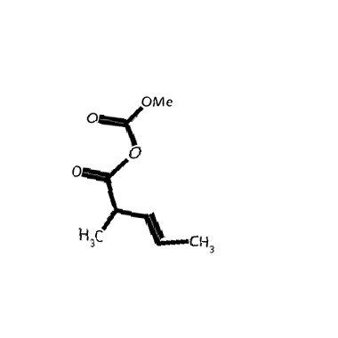 CC=CC(C)C(=O)OC(=O)OC